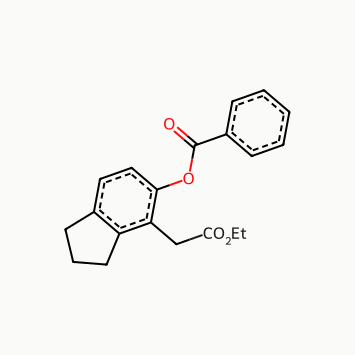 CCOC(=O)Cc1c(OC(=O)c2ccccc2)ccc2c1CCC2